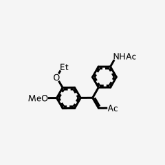 CCOc1cc(/C(=C/C(C)=O)c2ccc(NC(C)=O)cc2)ccc1OC